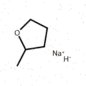 CC1CCCO1.[H-].[Na+]